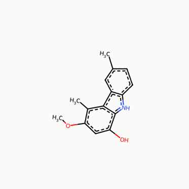 COc1cc(O)c2[nH]c3ccc(C)cc3c2c1C